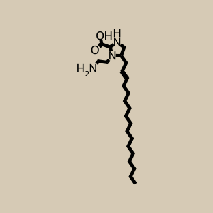 CCCCCCCCCCCCCCC=CCC1CNC(C(=O)O)N1CCN